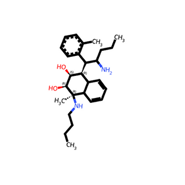 CCCCN[C@]1(C)C2C=CC=CC2[C@H](C(c2ccccc2C)C(N)CCC)[C@H](O)[C@@H]1O